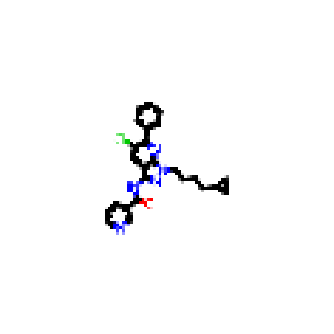 O=C(Nc1nn(CCCCC2CC2)c2nc(-c3cc[c]cc3)c(Cl)cc12)c1cccnc1